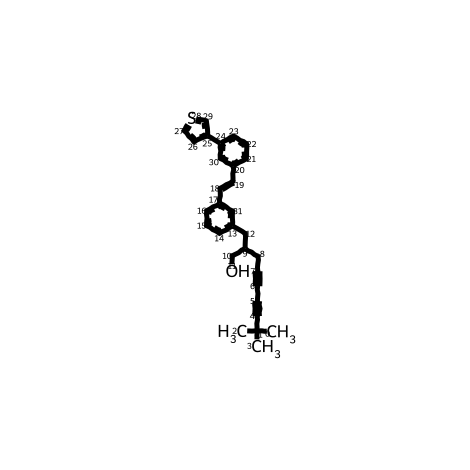 CC(C)(C)C#CC#CCC(CO)Cc1cccc(C=Cc2cccc(-c3ccsc3)c2)c1